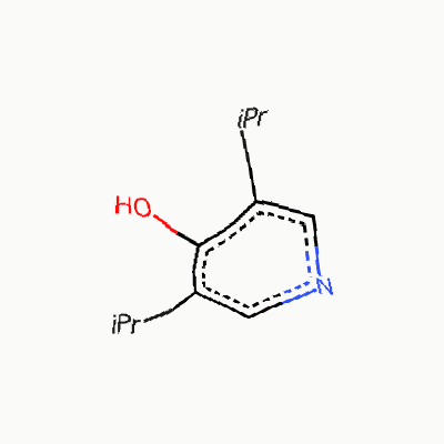 CC(C)c1cncc(C(C)C)c1O